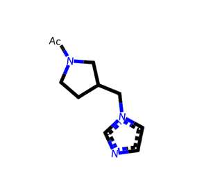 CC(=O)N1CCC(Cn2ccnc2)C1